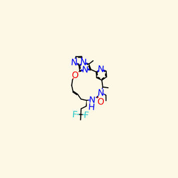 CCN1C(=O)N[C@@H](CCC(C)(F)F)C/C=C/CCOc2nc(c(C)n3ccnc23)-c2cc(ccn2)C1C